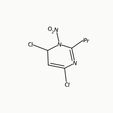 CC(C)C1=NC(Cl)=CC(Cl)N1[N+](=O)[O-]